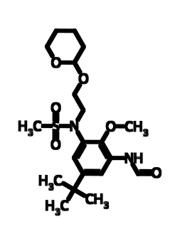 COc1c(NC=O)cc(C(C)(C)C)cc1N(CCOC1CCCCO1)S(C)(=O)=O